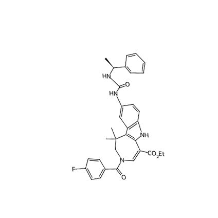 CCOC(=O)C1=CN(C(=O)c2ccc(F)cc2)CC(C)(C)c2c1[nH]c1ccc(NC(=O)N[C@@H](C)c3ccccc3)cc21